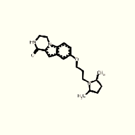 CC1CCC(C)N1CCCOc1ccc2c(c1)cc1n2CCNC1=O